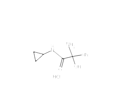 CCCC(N)(O)C(=O)NC1CC1.Cl